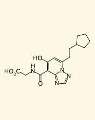 O=C(O)CNC(=O)c1c(O)cc(CCC2CCCC2)n2ncnc12